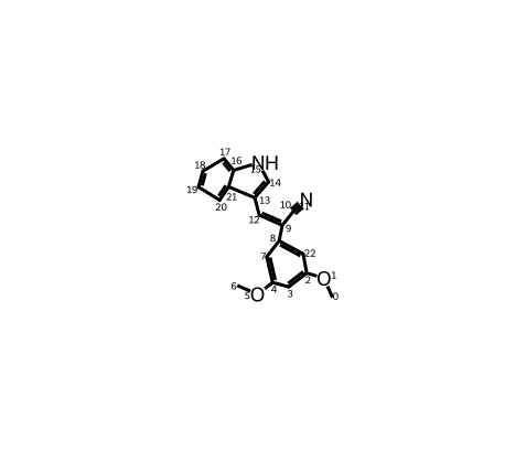 COc1cc(OC)cc(C(C#N)=Cc2c[nH]c3ccccc23)c1